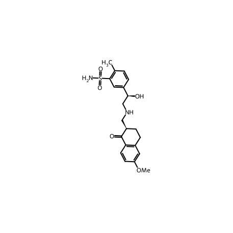 COc1ccc2c(c1)CC[C@H](CNC[C@H](O)c1ccc(C)c(S(N)(=O)=O)c1)C2=O